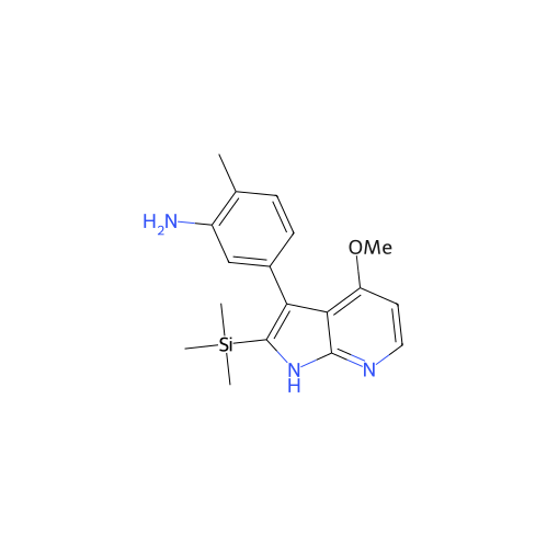 COc1ccnc2[nH]c([Si](C)(C)C)c(-c3ccc(C)c(N)c3)c12